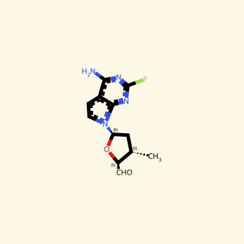 C[C@H]1C[C@H](n2ccc3c(N)nc(F)nc32)O[C@@H]1C=O